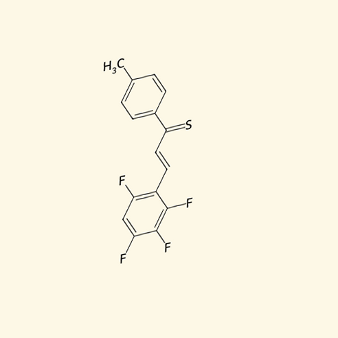 Cc1ccc(C(=S)C=Cc2c(F)cc(F)c(F)c2F)cc1